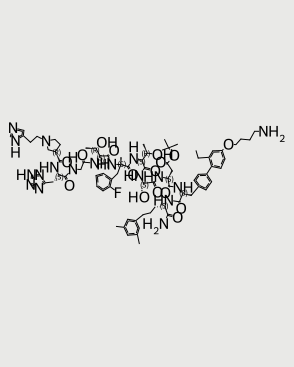 CCc1cc(OCCCCN)ccc1-c1ccc(C[C@H](NC(=O)[C@H](CC(=O)OC(C)(C)C)NC(=O)[C@H](CO)NC(=O)[C@@H](NC(=O)[C@](C)(Cc2ccccc2F)NC(=O)[C@@H](NC(=O)CNC(=O)[C@H](Cc2nn[nH]n2)NC(=O)[C@@H]2CCN(CCc3cnc[nH]3)C2)[C@@H](C)O)[C@@H](C)O)C(=O)N[C@@H](CCCc2cc(C)cc(C)c2)C(N)=O)cc1